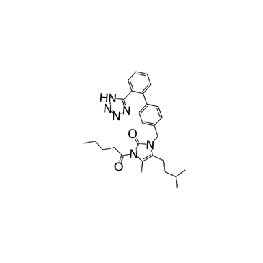 CCCCC(=O)n1c(C)c(CCC(C)C)n(Cc2ccc(-c3ccccc3-c3nnn[nH]3)cc2)c1=O